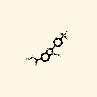 Cn1c(-c2ccc(S(C)(=O)=O)cc2)nc2cc(C(=O)NO)ccc21